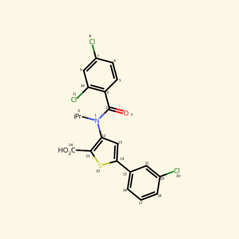 CC(C)N(C(=O)c1ccc(Cl)cc1Cl)c1cc(-c2cccc(Cl)c2)sc1C(=O)O